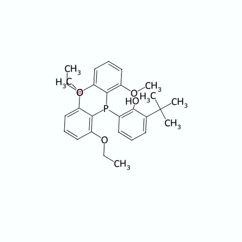 CCOc1cccc(OCC)c1P(c1cccc(C(C)(C)C)c1O)c1c(OC)cccc1OC